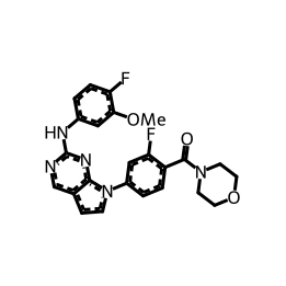 COc1cc(Nc2ncc3ccn(-c4ccc(C(=O)N5CCOCC5)c(F)c4)c3n2)ccc1F